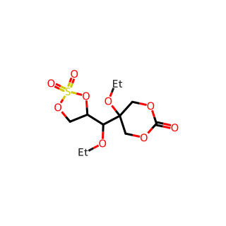 CCOC(C1COS(=O)(=O)O1)C1(OCC)COC(=O)OC1